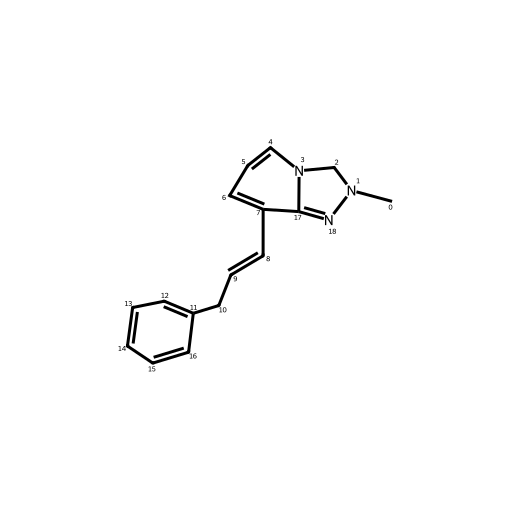 CN1CN2C=CC=C(C=CCc3ccccc3)C2=N1